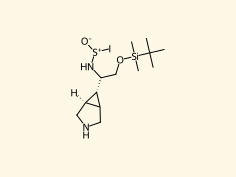 CC(C)(C)[Si](C)(C)OCC(N[S+]([O-])I)[C@@H]1C2CNC[C@H]21